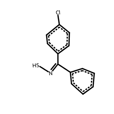 SN=C(c1ccccc1)c1ccc(Cl)cc1